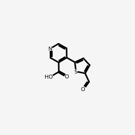 O=Cc1ccc(-c2ccncc2C(=O)O)s1